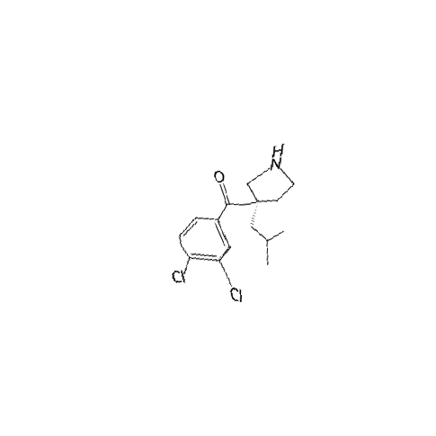 CC(C)C[C@@]1(C(=O)c2ccc(Cl)c(Cl)c2)CCNC1